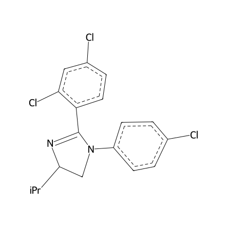 CC(C)C1CN(c2ccc(Cl)cc2)C(c2ccc(Cl)cc2Cl)=N1